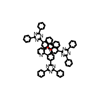 c1ccc(-c2nc(-c3ccccc3)nc(-c3ccc(-n4c5ccccc5c5cc(-c6nc(-c7ccccc7)nc(-c7ccccc7)n6)ccc54)c(-c4ncccc4-n4c5ccccc5c5cc(-c6nc(-c7ccccc7)nc(-c7ccccc7)n6)ccc54)c3)n2)cc1